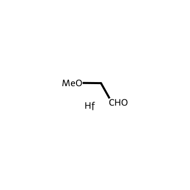 COCC=O.[Hf]